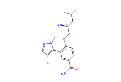 CC(C)C[C@H](N)COc1ccc(C(N)=O)cc1-c1c(Cl)cnn1C